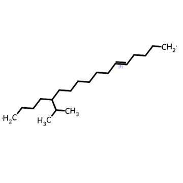 [CH2]CCC/C=C/CCCCCCC(CCC[CH2])C(C)C